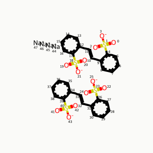 O=S(=O)([O-])c1ccccc1C=Cc1ccccc1S(=O)(=O)[O-].O=S(=O)([O-])c1ccccc1C=Cc1ccccc1S(=O)(=O)[O-].[Na+].[Na+].[Na+].[Na+]